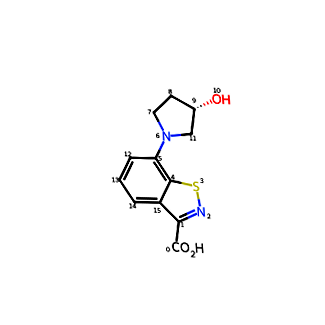 O=C(O)c1nsc2c(N3CC[C@H](O)C3)cccc12